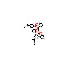 CCCC(C)c1ccc(C(=O)OCC(OC(=O)c2ccc(C(C)CCC)cc2C2CCCCC2)C2CCCCC2)c(C2CCCCC2)c1